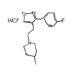 CC1CCN(CCc2conc2-c2ccc(F)cc2)CC1.Cl